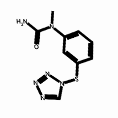 CN(C(N)=O)c1cccc(Sn2cnnn2)c1